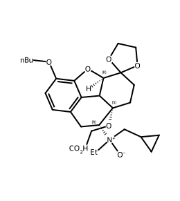 CCCCOc1ccc2c3c1O[C@@H]1C3[C@@](OCC(=O)O)(CCC13OCCO3)[C@H]([N+]([O-])(CC)CC1CC1)C2